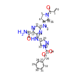 C=CC(=O)N1CC[C@@H](N(C)c2cnc(C(N)=O)c(Nc3cnn(C(=O)OCc4ccccc4)c3)n2)[C@H]1C